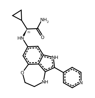 NC(=O)[C@@H](Nc1cc2c3c(c(-c4ccncc4)[nH]c3c1)NCCO2)C1CC1